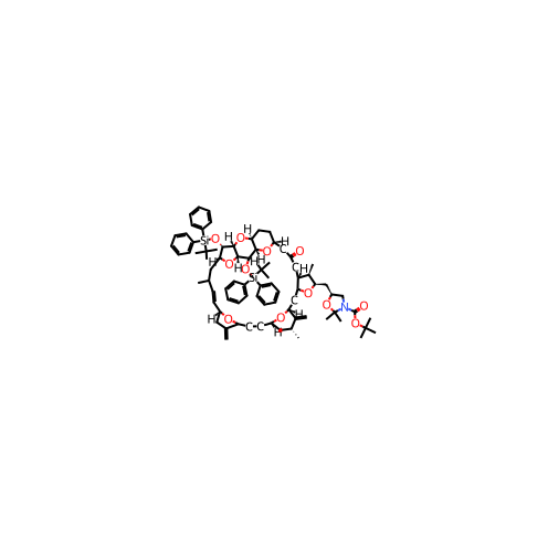 C=C1C[C@@H]2/C=C/C(C)C[C@H]3O[C@H]4[C@@H](O[Si](c5ccccc5)(c5ccccc5)C(C)(C)C)[C@H]5O[C@H](CC[C@@H]5O[C@H]4[C@H]3O[Si](c3ccccc3)(c3ccccc3)C(C)(C)C)CC(=O)C[C@H]3C(C[C@H]4O[C@@H](CCC1O2)C[C@@H](C)C4=C)O[C@H](C[C@H]1CN(C(=O)OC(C)(C)C)C(C)(C)O1)[C@@H]3C